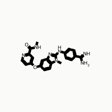 CNC(=O)c1cc(Oc2ccc3c(c2)nc(Nc2ccc(C(=N)N)cc2)n3C)ccn1